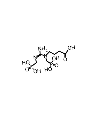 NC(=NCP(=O)(O)O)N(CCCC(=O)O)CP(=O)(O)O